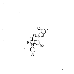 CCN(c1cc(Br)cc(C(=O)NCC2=C(C)C=C(C)CC2=O)c1Cl)[C@H]1CC[C@H](N(C)C)CC1